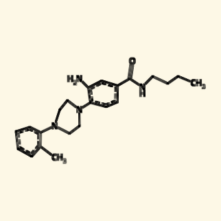 CCCCNC(=O)c1ccc(N2CCN(c3ccccc3C)CC2)c(N)c1